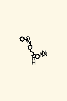 CN(CC(=O)c1ccccc1)C1CCC(CCc2c[nH]c3ccc(-n4cnnc4)cc23)CC1